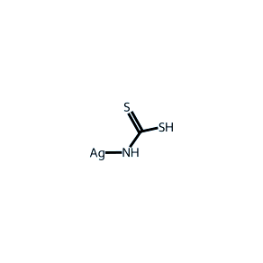 S=C(S)[NH][Ag]